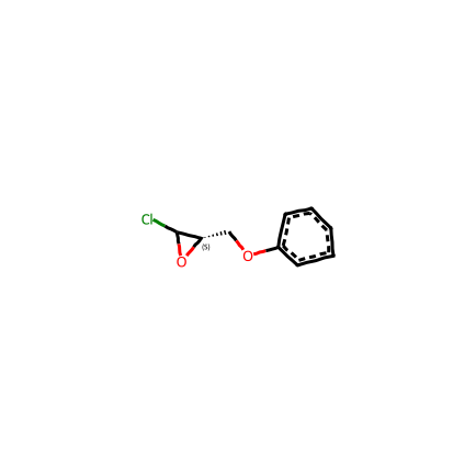 ClC1O[C@H]1COc1ccccc1